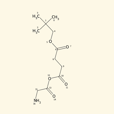 CC(C)(C)COC(=O)CCC(=O)OC(=O)CN